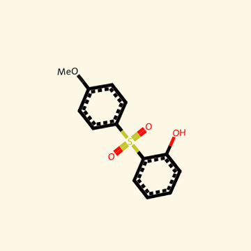 COc1ccc(S(=O)(=O)c2ccccc2O)cc1